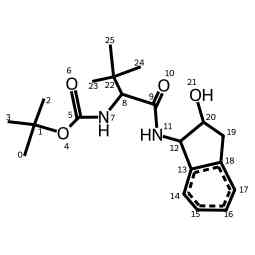 CC(C)(C)OC(=O)NC(C(=O)NC1c2ccccc2CC1O)C(C)(C)C